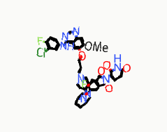 COc1cc2ncnc(Nc3ccc(F)c(Cl)c3)c2cc1OCCCN1CCC(CN2C3CCC2CN(c2cc4c(cc2F)C(=O)N(C2CCC(=O)NC2=O)C4=O)C3)CC1